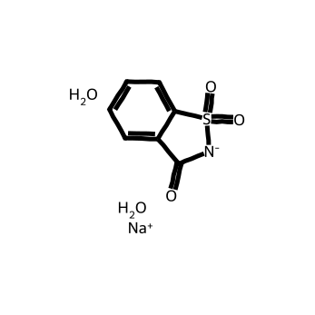 O.O.O=C1[N-]S(=O)(=O)c2ccccc21.[Na+]